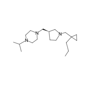 CCCC1(CN2CC[C@@H](CN3CCN(C(C)C)CC3)C2)CC1